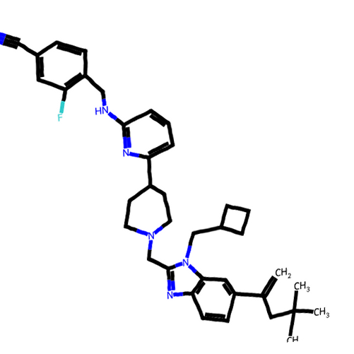 C=C(CC(C)(C)C)c1ccc2nc(CN3CCC(c4cccc(NCc5ccc(C#N)cc5F)n4)CC3)n(CC3CCC3)c2c1